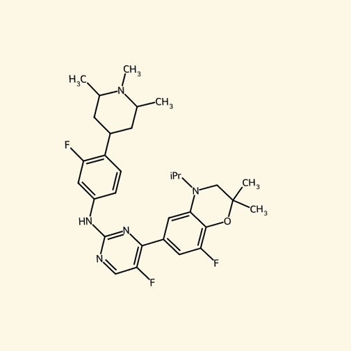 CC(C)N1CC(C)(C)Oc2c(F)cc(-c3nc(Nc4ccc(C5CC(C)N(C)C(C)C5)c(F)c4)ncc3F)cc21